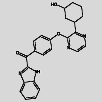 O=C(c1ccc(Oc2nccnc2C2CCCC(O)C2)cc1)c1nc2ccccc2[nH]1